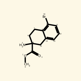 COC(=O)C1(N)CCc2c(Br)cccc2C1